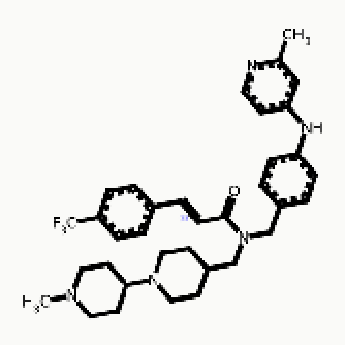 Cc1cc(Nc2ccc(CN(CC3CCN(C4CCN(C)CC4)CC3)C(=O)/C=C/c3ccc(C(F)(F)F)cc3)cc2)ccn1